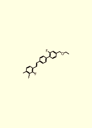 CCOCc1ccc(-c2ccc(/C=C/c3ccc(C)c(F)c3F)cc2)c(F)c1